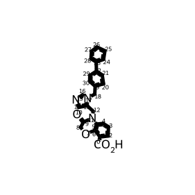 O=C(O)c1cccc2c1OCC(=O)N2Cc1cncn1Cc1ccc(-c2ccccc2)cc1